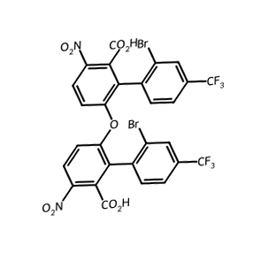 O=C(O)c1c([N+](=O)[O-])ccc(Oc2ccc([N+](=O)[O-])c(C(=O)O)c2-c2ccc(C(F)(F)F)cc2Br)c1-c1ccc(C(F)(F)F)cc1Br